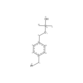 CC(C)Cc1ccc(CO[Si](C)(C)O)cc1